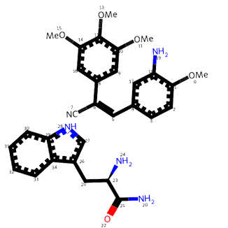 COc1ccc(/C=C(/C#N)c2cc(OC)c(OC)c(OC)c2)cc1N.NC(=O)[C@H](N)Cc1c[nH]c2ccccc12